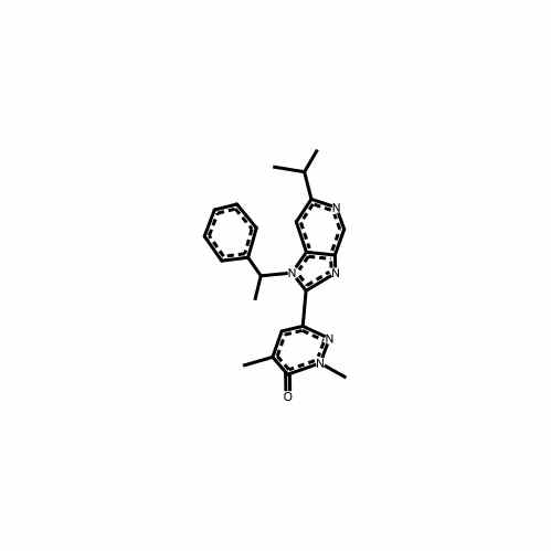 Cc1cc(-c2nc3cnc(C(C)C)cc3n2C(C)c2ccccc2)nn(C)c1=O